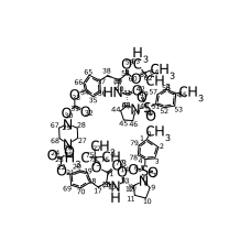 Cc1ccc(S(=O)(=O)N2CCC[C@@H]2C(=O)N[C@@H](Cc2ccc(OC(=O)ON3CCN(OC(=O)Oc4ccc(C[C@H](NC(=O)[C@H]5CCCN5S(=O)(=O)c5ccc(C)cc5)C(=O)OC(C)(C)C)cc4)CC3)cc2)C(=O)OC(C)(C)C)cc1